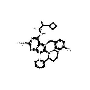 CC(C1CCC1)[C@@H](C)Nc1nc(C(=O)O)nc2nc(N3CCCCC3c3ccccn3)n(Cc3ccc(C(F)(F)F)cc3)c12